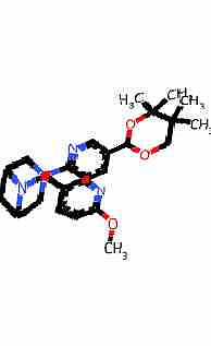 COc1ccc(CN2C3CC2CN(c2ccc(C4OCC(C)(C)C(C)(C)O4)cn2)C3)cn1